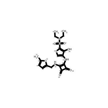 CCN(CC)S(=O)(=O)c1scc(Nc2c(NCc3ccc(C)o3)c(=O)c2=O)c1O